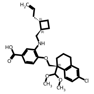 C=CC[C@@H]1CC[C@H]1CNc1cc(C(=O)O)ccc1OC[C@@]1(C(OC)OC)CCCc2cc(Cl)ccc21